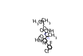 C/C=C(\C=C(/C=N)C(=O)OCCN(C)C)c1cc(-c2cc(Cl)ccc2F)nc2c1OCCN2